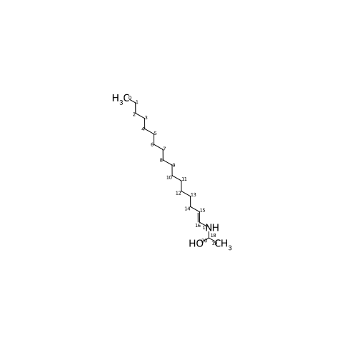 CCCCCCCCCCCCCCCC=CNC(C)O